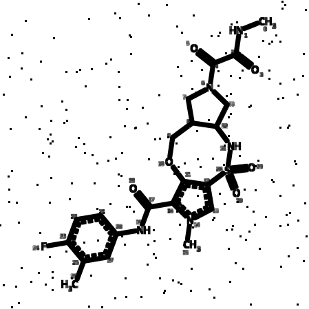 CNC(=O)C(=O)N1CC2COc3c(cn(C)c3C(=O)Nc3ccc(F)c(C)c3)S(=O)(=O)NC2C1